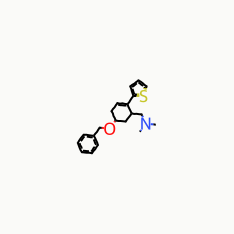 CN(C)CC1CC(OCc2ccccc2)CC=C1c1cccs1